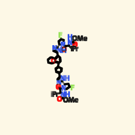 COC(=O)N[C@H](C(=O)N1C[C@H](F)C[C@H]1c1ncc(-c2ccc(-c3ccc(-c4cnc([C@@H]5C[C@@H](F)CN5C(=O)[C@@H](NC(=O)OC)C(C)C)[nH]4)c4c3C3CCC4O3)cc2)[nH]1)C(C)C